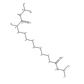 CC(C)OC(=O)CCCCCCCCCC(C)C(=O)OC(C)C